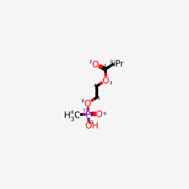 CC(C)C(=O)OCCOP(C)(=O)O